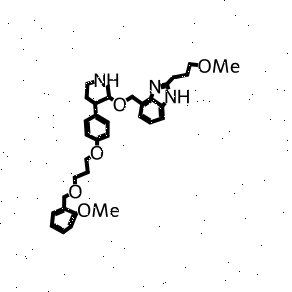 COCCCc1nc2c(COC3CNCCC3c3ccc(OCCCOCc4ccccc4OC)cc3)cccc2[nH]1